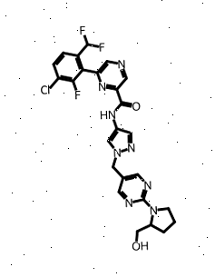 O=C(Nc1cnn(Cc2cnc(N3CCCC3CO)nc2)c1)c1cncc(-c2c(C(F)F)ccc(Cl)c2F)n1